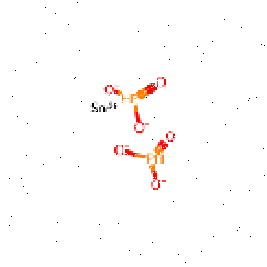 O=[PH]([O-])[O-].O=[PH]([O-])[O-].[Sn+4]